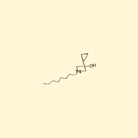 CCCCCCCCN1CC(O)(C2CC2)C1